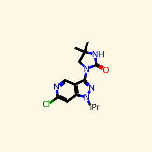 CC(C)n1nc(N2CC(C)(C)NC2=O)c2cnc(Cl)cc21